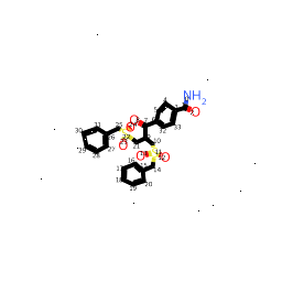 NC(=O)c1ccc(C(=O)C(CS(=O)(=O)Cc2ccccc2)CS(=O)(=O)Cc2ccccc2)cc1